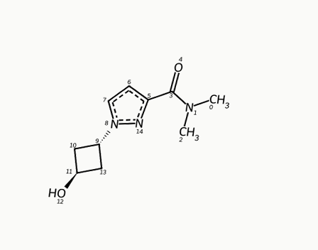 CN(C)C(=O)c1ccn([C@H]2C[C@H](O)C2)n1